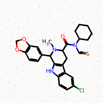 CN1C(C(=O)N(C=S)C2CCCCC2)Cc2c([nH]c3ccc(Cl)cc23)C1c1ccc2c(c1)OCO2